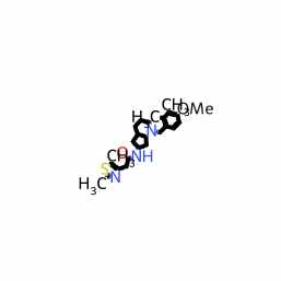 COc1ccc(CN2CCCC3CC(NC(=O)Cc4nc(C)sc4C)CC32)c(C)c1C